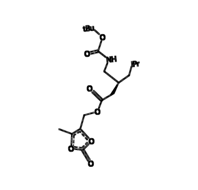 Cc1oc(=O)oc1COC(=O)C[C@@H](CNC(=O)OC(C)(C)C)CC(C)C